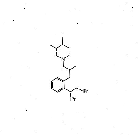 CC(C)CC(c1ccccc1CC(C)CN1CCC(C)C(C)C1)C(C)C